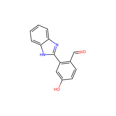 O=[C]c1ccc(O)cc1-c1nc2ccccc2[nH]1